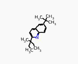 CCC(C)(CC)c1ccc2cc(C(C)(C)C)ccc2n1